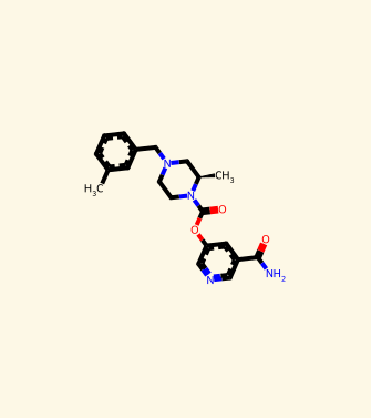 Cc1cccc(CN2CCN(C(=O)Oc3cncc(C(N)=O)c3)[C@H](C)C2)c1